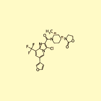 C[C@@H]1C[C@H](N2CCOC2=O)CCN1C(=O)c1nc2c(C(F)(F)F)cc(-c3ccoc3)cn2c1Cl